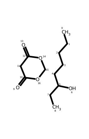 CCCCCC(O)CC.O=C1CC(=O)OCO1